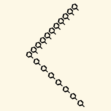 Cc1ccccc1.Cc1ccccc1.Cc1ccccc1.Cc1ccccc1.Cc1ccccc1.Cc1ccccc1.Cc1ccccc1.Cc1ccccc1.Cc1ccccc1.Cc1ccccc1.Cc1ccccc1.Cc1ccccc1.Cc1ccccc1.Cc1ccccc1.Cc1ccccc1.Cc1ccccc1.Cc1ccccc1.Cc1ccccc1